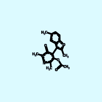 CC(=O)Oc1c(C)nn(C)c(=O)c1-c1c(C)oc2ccc(C)cc12